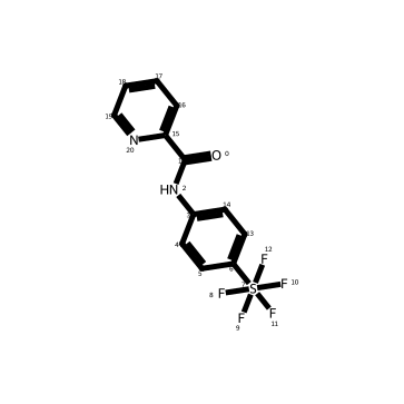 O=C(Nc1ccc(S(F)(F)(F)(F)F)cc1)c1ccccn1